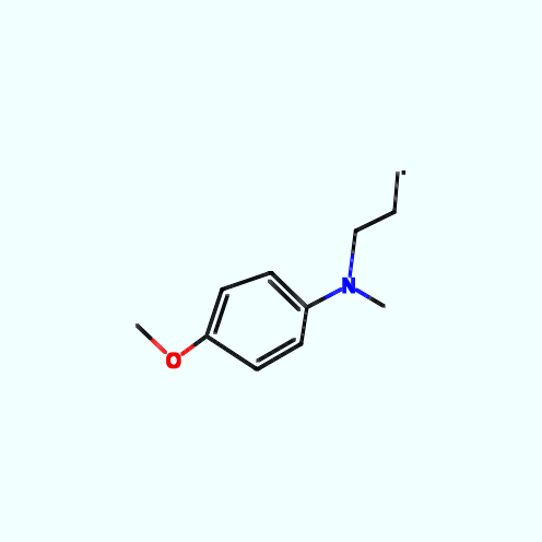 [CH2]CCN(C)c1ccc(OC)cc1